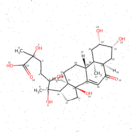 CC(O)(CCC(O)[C@](C)(O)[C@H]1CC[C@@]2(O)C3=CC(=O)[C@@H]4C[C@@H](O)[C@@H](O)C[C@]4(C)[C@H]3CC[C@]12C)C(=O)O